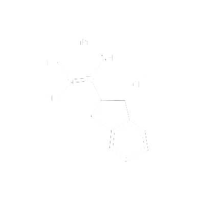 CC(C)[NH][Ti+2]([C]1=Cc2ccccc2C1)=[Si](C)C.[Cl-].[Cl-]